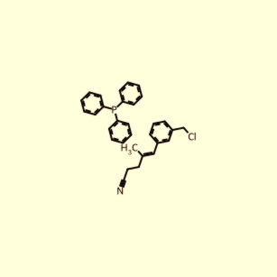 C/C(=C\c1cccc(CCl)c1)CCC#N.c1ccc(P(c2ccccc2)c2ccccc2)cc1